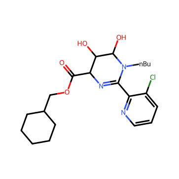 CCCCN1C(c2ncccc2Cl)=NC(C(=O)OCC2CCCCC2)C(O)C1O